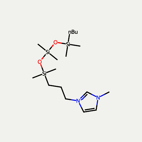 CCCC[Si](C)(C)O[Si](C)(C)O[Si](C)(C)CCC[n+]1ccn(C)c1